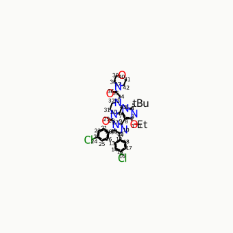 CCOc1nc(C(C)(C)C)ncc1C1=N[C@@H](c2ccc(Cl)cc2)[C@@H](c2ccc(Cl)cc2)N1C(=O)N1CCN(CC(=O)N2CCOCC2)CC1